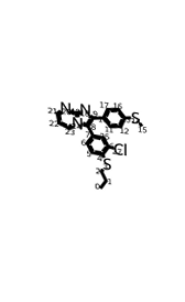 CCCSc1ccc(-c2c(-c3ccc(SC)cc3)nc3ncccn23)cc1Cl